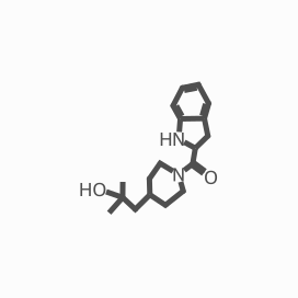 CC(C)(O)CC1CCN(C(=O)C2Cc3ccccc3N2)CC1